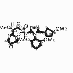 COc1cccc(OC)c1-n1c(NS(=O)(=O)[C@@H](C)[C@H](OC)c2ncc(Cl)cn2)nnc1C1=CC[C@@H](OC)C1